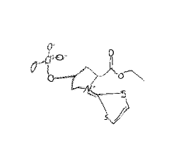 CCOC(=O)C1CC(O[Cl+3]([O-])([O-])[O-])C[N+]1=c1sccs1